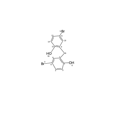 Oc1ccc(Br)cc1Cc1cc(Br)ccc1O